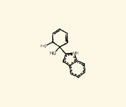 OC1C=CC=CC1(O)c1cc2ccccc2[nH]1